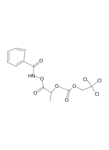 CC(OC(=O)OCC(Cl)(Cl)Cl)C(=O)ONC(=O)c1ccccc1